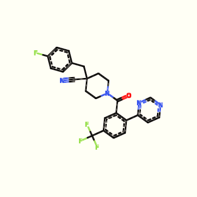 N#CC1(Cc2ccc(F)cc2)CCN(C(=O)c2cc(C(F)(F)F)ccc2-c2ccncn2)CC1